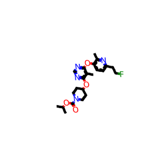 Cc1nc(CCF)ccc1Oc1ncnc(OC2CCN(C(=O)OC(C)C)CC2)c1C